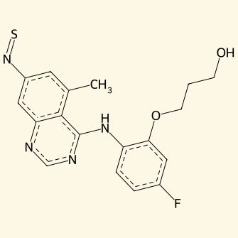 Cc1cc(N=S)cc2ncnc(Nc3ccc(F)cc3OCCCO)c12